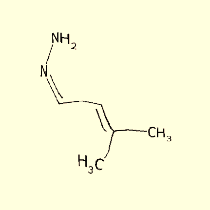 CC(C)=C/C=N\N